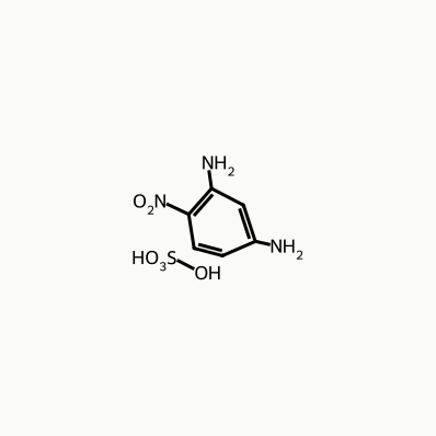 Nc1ccc([N+](=O)[O-])c(N)c1.O=S(=O)(O)O